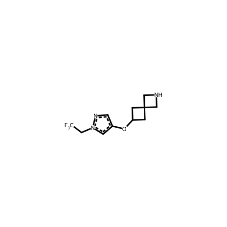 FC(F)(F)Cn1cc(OC2CC3(CNC3)C2)cn1